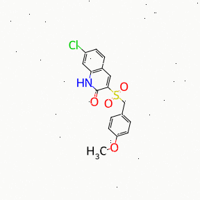 COc1ccc(CS(=O)(=O)c2cc3ccc(Cl)cc3[nH]c2=O)cc1